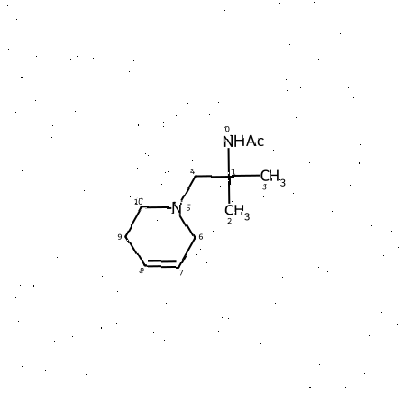 CC(=O)NC(C)(C)CN1CC=CCC1